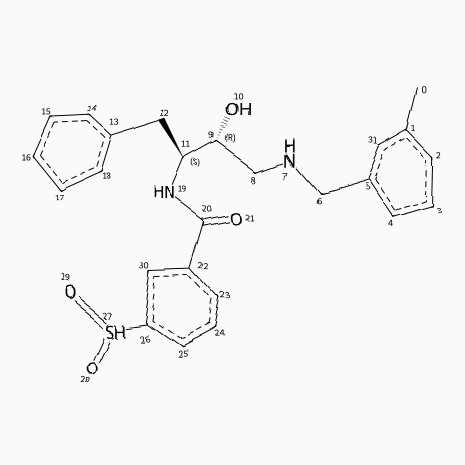 Cc1cccc(CNC[C@@H](O)[C@H](Cc2ccccc2)NC(=O)c2cccc([SH](=O)=O)c2)c1